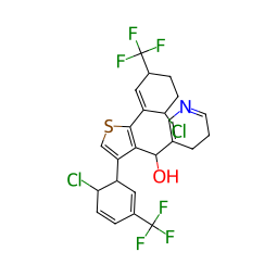 OC(C1=CN=CCC1)c1c(C2C=C(C(F)(F)F)C=CC2Cl)csc1C1=CC(C(F)(F)F)CCC1Cl